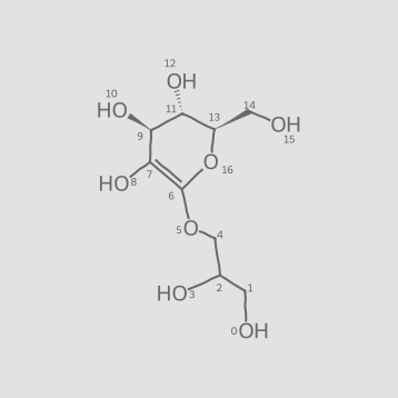 OCC(O)COC1=C(O)[C@@H](O)[C@H](O)[C@@H](CO)O1